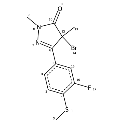 CSc1ccc(C2=NN(C)C(=O)C2(C)Br)cc1F